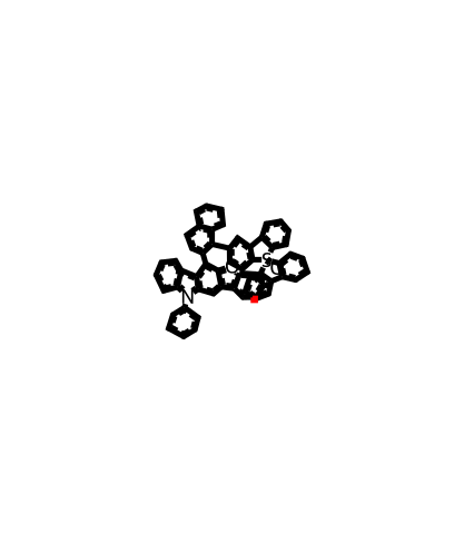 O=S12(c3ccccc3-c3ccccc31)c1ccccc1-c1cc(-c3c(-c4c5oc6ccccc6c5cc5c4c4ccccc4n5-c4ccccc4)ccc4ccccc34)ccc12